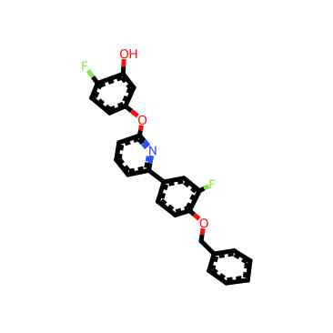 Oc1cc(Oc2cccc(-c3ccc(OCc4ccccc4)c(F)c3)n2)ccc1F